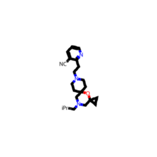 CC(C)CN1CC2(CCN(CCc3ncccc3C#N)CC2)OC2(CC2)C1